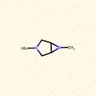 CCCCN1CC2C(C1)N2C